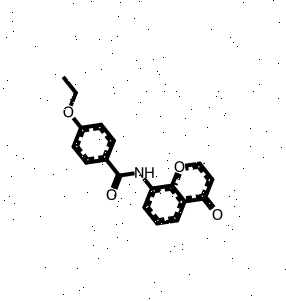 CCOc1ccc(C(=O)Nc2cccc3c(=O)c[c]oc23)cc1